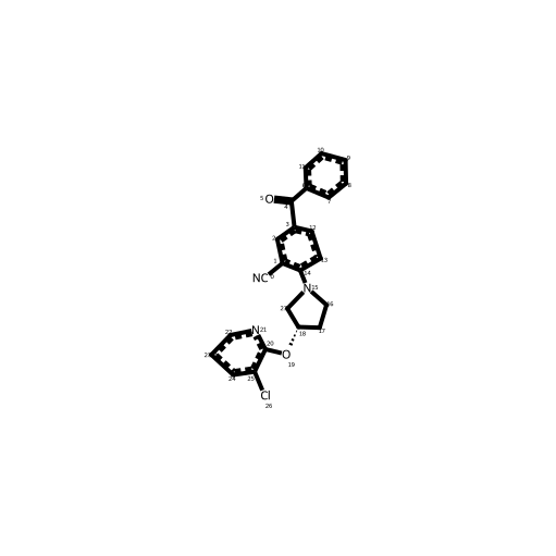 N#Cc1cc(C(=O)c2ccccc2)ccc1N1CC[C@H](Oc2ncccc2Cl)C1